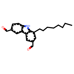 CCCCCCCCc1cc(C=O)cc2c1[nH]c1ccc(C=O)cc12